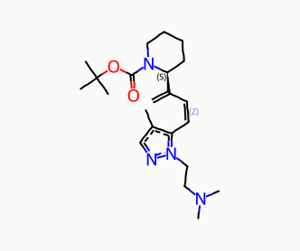 C=C(/C=C\c1c(C)cnn1CCN(C)C)[C@@H]1CCCCN1C(=O)OC(C)(C)C